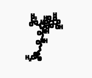 C=CS(=O)(=O)CCCCCC(=O)NCCC(=O)Nc1cc(COC(C)=O)ccc1O[C@@H]1O[C@H](C(=O)O)[C@H](O)[C@H](O)[C@@H]1O